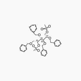 CS(=O)(=O)OC[C@H](OCc1ccccc1)[C@@H](OCc1ccccc1)[C@@H](OCc1ccccc1)[C@@H](COCc1ccccc1)OS(C)(=O)=O